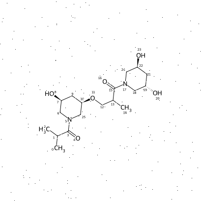 CC(C)C(=O)N1C[C@@H](O)C[C@@H](OCC(C)C(=O)N2C[C@@H](O)C[C@H](O)C2)C1